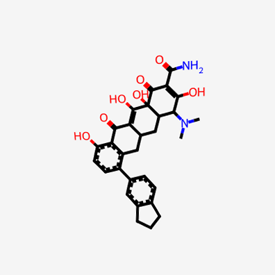 CN(C)C1C(O)=C(C(N)=O)C(=O)C2(O)C(O)=C3C(=O)c4c(O)ccc(-c5ccc6c(c5)CCC6)c4CC3CC12